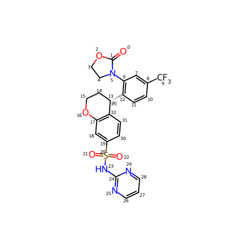 O=C1OCCN1c1cc(C(F)(F)F)ccc1[C@H]1CCOc2cc(S(=O)(=O)Nc3ncccn3)ccc21